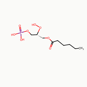 CCCCCC(=O)OC[C@H](COP(=O)(O)O)OO